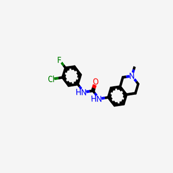 CN1CCc2ccc(NC(=O)Nc3ccc(F)c(Cl)c3)cc2C1